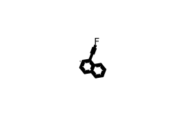 FC#Cc1[c]ccc2ccccc12